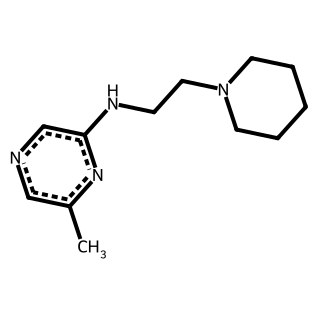 Cc1cncc(NCCN2CCCCC2)n1